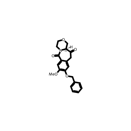 COc1cc2c(cc1OCc1ccccc1)CC(=O)[C@@H]1COCCN1C2=O